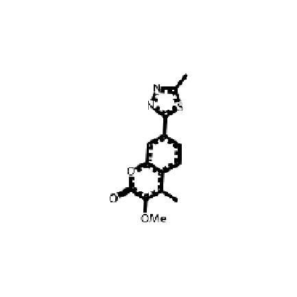 COc1c(C)c2ccc(-c3nnc(C)s3)cc2oc1=O